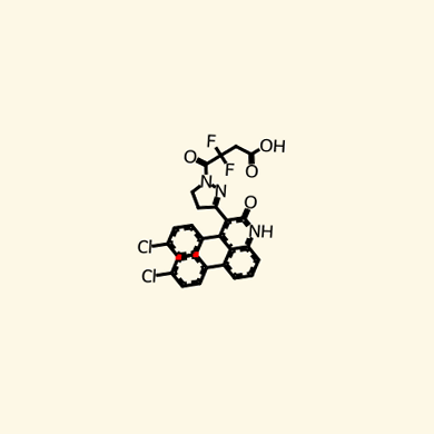 O=C(O)CC(F)(F)C(=O)N1CCC(c2c(-c3ccc(Cl)cc3)c3c(-c4ccc(Cl)cc4)cccc3[nH]c2=O)=N1